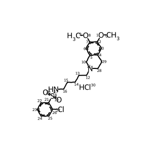 COc1cc2c(cc1OC)CN(CCCCCNS(=O)(=O)c1ccccc1Cl)CC2.Cl